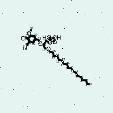 CCCCCCCCCCCCCCCCCCOCC(COP(=O)(O)O)OCc1cc(C#N)c(Cl)c(OC)c1